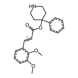 COc1cccc(/C=C/C(=O)OC2(c3ccccc3)CCNCC2)c1OC